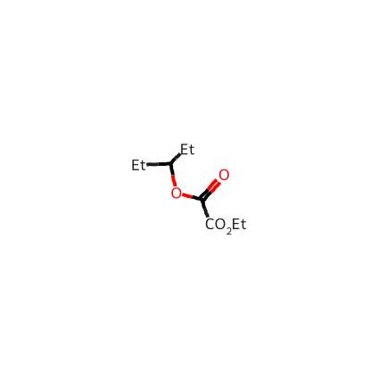 CCOC(=O)C(=O)OC(CC)CC